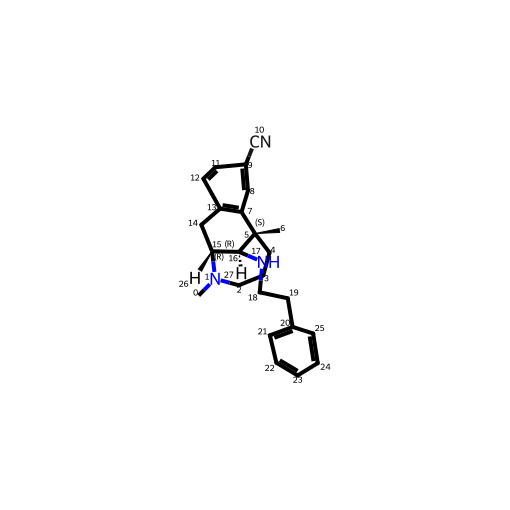 CN1CCC[C@@]2(C)c3cc(C#N)ccc3C[C@@H]1[C@@H]2NCCc1ccccc1